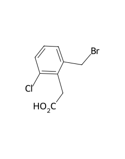 O=C(O)Cc1c(Cl)cccc1CBr